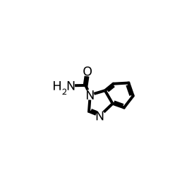 NC(=O)n1cnc2ccccc21